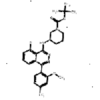 COc1cc(C)ccc1-c1nnc(N[C@@H]2CCCN(C(=O)OC(C)(C)C)C2)c2c(Br)cccc12